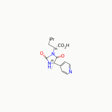 CC(C)C[C@H](C(=O)O)N1C(=O)N[C@](C)(c2ccncc2)C1=O